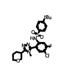 Cn1c(-c2cc(Cl)c(F)cc2NS(=O)(=O)c2ccc(C(C)(C)C)cc2)nnc1C1CCCOC1